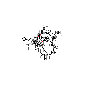 CC[C@@H]1C(CCCCNC)COc2ccc3c4c([nH]c3c2)[S+]([O-])C[C@@H]2NC(=O)CNC(=O)[C@H]1NC(=O)CNC(=O)[C@H](C4)NC(=O)[C@H]([C@@H](C)[C@@H](O)CCC1CCC1)NC(=O)[C@@H]1C[C@@H](O)CN1C(=O)[C@H](CC(N)=O)NC2=O